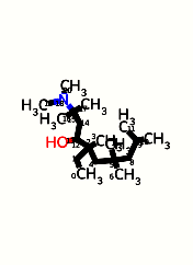 CCC(C)(CC(C)(C)CC(C)C)C(O)CC(C)(C)N(C)C